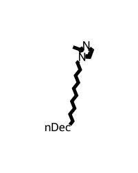 CCCCCCCCCCCCCCCCCCCCn1ccnc1C